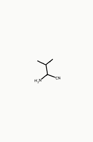 CC(C)C(N)C#N